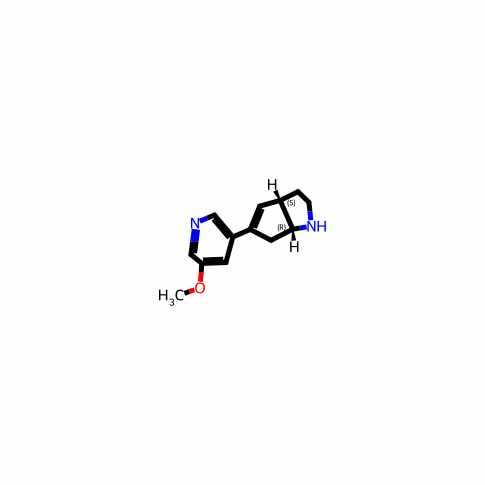 COc1cncc(C2=C[C@@H]3CCN[C@@H]3C2)c1